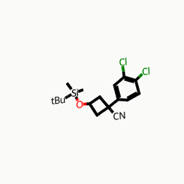 CC(C)(C)[Si](C)(C)OC1CC(C#N)(c2ccc(Cl)c(Cl)c2)C1